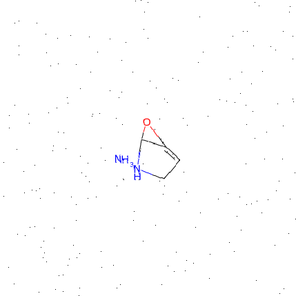 C1=C2OC2NC1.N